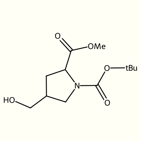 COC(=O)C1CC(CO)CN1C(=O)OC(C)(C)C